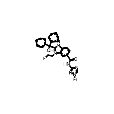 CCn1cnc(NC(=O)c2ccc3c(c2)N(CCF)C(C(O)(c2ccccc2)c2ccccc2)N3)n1